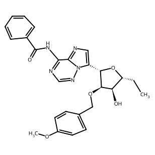 CC[C@H]1O[C@@H](c2cnc3c(NC(=O)c4ccccc4)ncnn23)[C@H](OCc2ccc(OC)cc2)[C@@H]1O